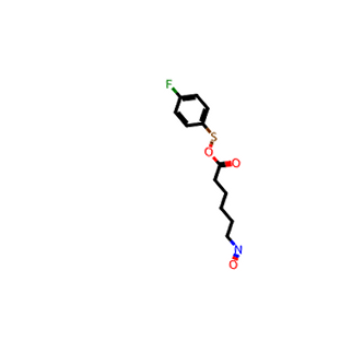 O=NCCCCCC(=O)OSc1ccc(F)cc1